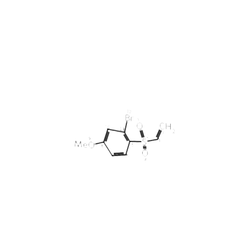 C=CS(=O)(=O)c1ccc(OC)cc1Br